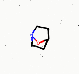 C1CN2CCC1O2